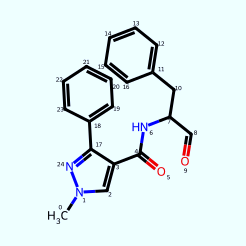 Cn1cc(C(=O)NC(C=O)Cc2ccccc2)c(-c2ccccc2)n1